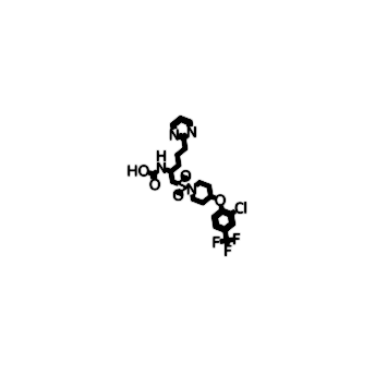 O=C(O)NC(CCCc1ncccn1)CS(=O)(=O)N1CCC(Oc2ccc(C(F)(F)F)cc2Cl)CC1